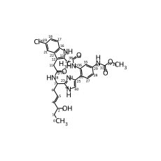 CCC(O)/C=C/CC(NC(=O)Cc1c(C)[nH]c2ccc(Cl)cc12)c1nc(-c2ccc(NC(=O)OC)cc2NC=O)c[nH]1